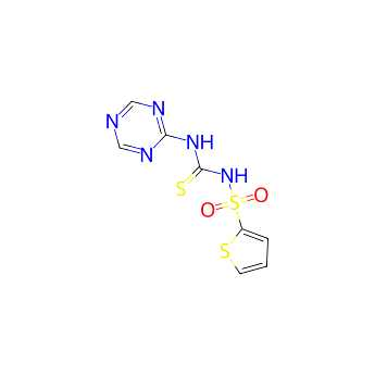 O=S(=O)(NC(=S)Nc1ncncn1)c1cccs1